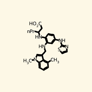 CCCC(CC(=O)O)Nc1ccc(Nc2nccs2)cc1NCc1cn(C)c2cccc(C)c12